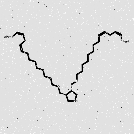 CCCCC/C=C\C/C=C\CCCCCCCCOC[C@@H]1CNC[C@H]1COCCCCCCCC/C=C\C/C=C\CCCCC